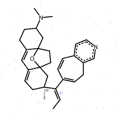 C/C=C(/C1=CCc2cnccc2C=C1)[C@@]1(C)CC=C2C=C3CCC(N(C)C)CC34CCC2(C1)O4